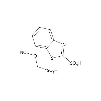 N#COCS(=O)(=O)O.O=S(=O)(O)c1nc2ccccc2s1